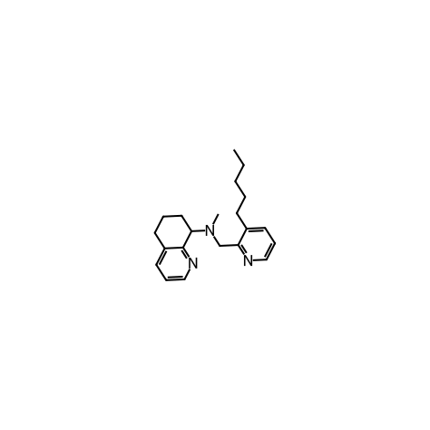 CCCCCc1cccnc1CN(C)C1CCCc2cccnc21